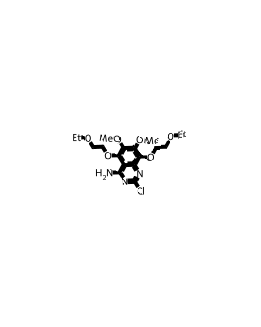 CCOCCOc1c(OC)c(OC)c(OCCOCC)c2c(N)nc(Cl)nc12